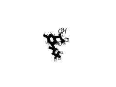 Cc1cc2c(c(C(C)(C)CC(C)(C)C)c1)OC(=O)C2O